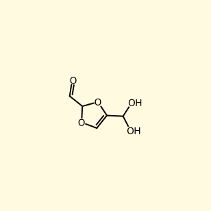 O=CC1OC=C(C(O)O)O1